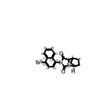 O=C1C2C3CC[C@H](C3)N2C(=O)N1c1ccc(Br)c2ccccc12